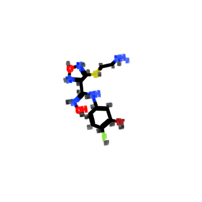 NCCSc1nonc1/C(=N/O)Nc1ccc(F)c(Br)c1